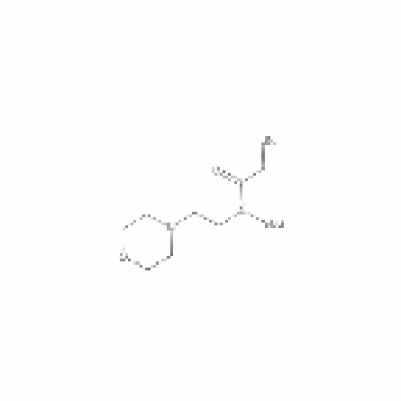 CCCCN(CCN1CCOCC1)C(=O)CC(C)(C)C